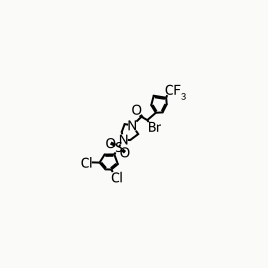 O=C(C(Br)c1ccc(C(F)(F)F)cc1)N1CCN(S(=O)(=O)c2cc(Cl)cc(Cl)c2)CC1